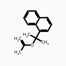 C=C(C)OC(C)(C)c1cccc2ccccc12